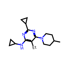 CCc1c(NC2CC2)nc(C2CC2)nc1N1CCC(C)CC1